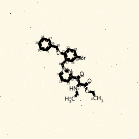 CCNC(C(=O)OCC)C(=O)c1ccc[n+](Cc2cc(Br)ccc2OCc2ccccc2)n1